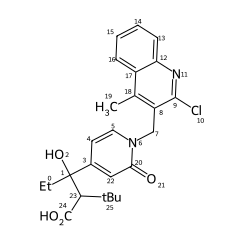 CCC(O)(c1ccn(Cc2c(Cl)nc3ccccc3c2C)c(=O)c1)C(C(=O)O)C(C)(C)C